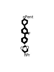 CCCCCC1CCC(c2ccc(-c3ccc([C@H]4OC[C@H](CCC)CO4)cc3)c(F)c2)CC1